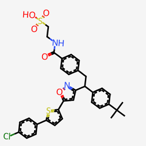 CC(C)(C)c1ccc(C(Cc2ccc(C(=O)NCCS(=O)(=O)O)cc2)c2cc(-c3ccc(-c4ccc(Cl)cc4)s3)on2)cc1